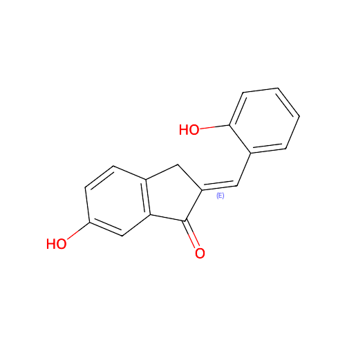 O=C1/C(=C/c2ccccc2O)Cc2ccc(O)cc21